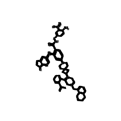 CC(C)c1ccccc1C1CN(Cc2cccc3c2CCCC3)CCN1C1CC2(CCN(c3ccc(C(=O)NSc4ccc(N)c([N+](=O)[O-])c4)c(Oc4cnc5[nH]ccc5c4)c3)CC2)C1